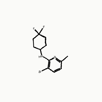 Cc1ccc(Br)c(NC2CCC(F)(F)CC2)n1